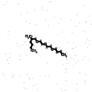 [CH2]C(CCCC)COCCOCCOCCCC